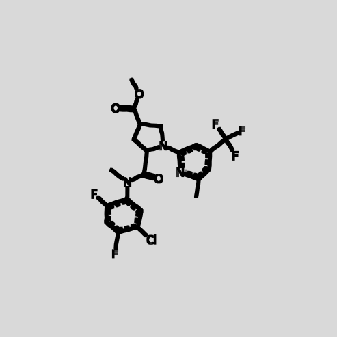 COC(=O)C1CC(C(=O)N(C)c2cc(Cl)c(F)cc2F)N(c2cc(C(F)(F)F)cc(C)n2)C1